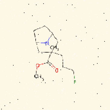 COC(=O)C1(CCCF)CC2CCC(C1)N2C